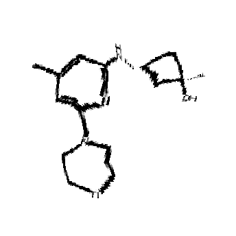 Cc1cc(N[C@H]2C[C@](C)(O)C2)nc(N2CCOCC2)c1